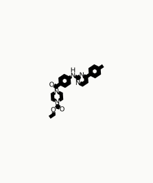 CCOC(=O)N1CCN(C(=O)c2ccc(Nc3nccc(-c4ccc(C)cc4)n3)cc2)CC1